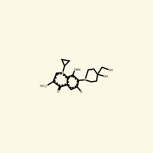 COc1c(N2CCC(O)(CO)CC2)c(F)cc2c(=O)c(C(=O)O)cn(C3CC3)c12